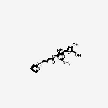 Nc1nc(OC(=O)CCCSSc2ccccn2)c2ncn(C3CC(O)C(CO)O3)c2n1